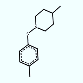 Cc1ccc(SN2CCC(C)CC2)cc1